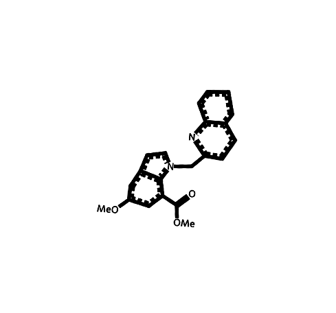 COC(=O)c1cc(OC)cc2ccn(Cc3ccc4ccccc4n3)c12